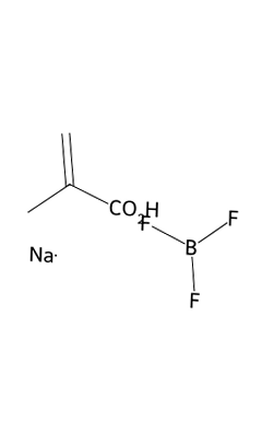 C=C(C)C(=O)O.FB(F)F.[Na]